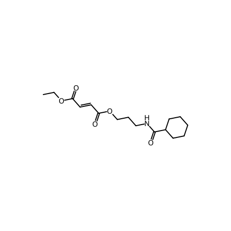 CCOC(=O)/C=C/C(=O)OCCCNC(=O)C1CCCCC1